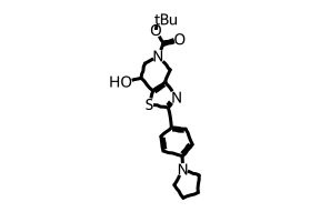 CC(C)(C)OC(=O)N1Cc2nc(-c3ccc(N4CCCC4)cc3)sc2C(O)C1